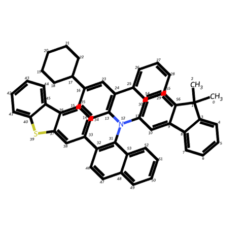 CC1(C)c2ccccc2-c2cc(N(c3ccc(C4CCCCC4)cc3-c3ccccc3)c3c(-c4ccc5c(c4)sc4ccccc45)ccc4ccccc34)ccc21